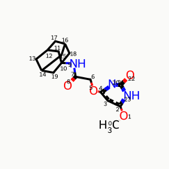 COc1cc(OCC(=O)NC23CC4CC(CC(C4)C2)C3)nc(=O)[nH]1